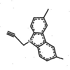 C#CCn1c2ccc(C)cc2c2cc(C)ccc21